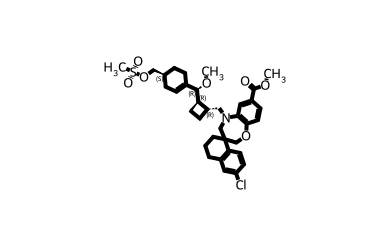 COC(=O)c1ccc2c(c1)N(C[C@@H]1CC[C@H]1[C@@H](OC)C1=CC[C@@H](COS(C)(=O)=O)CC1)CC1(CCCc3cc(Cl)ccc31)CO2